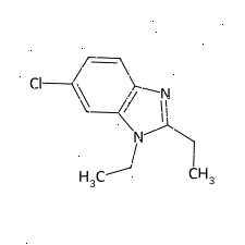 CCc1nc2ccc(Cl)cc2n1CC